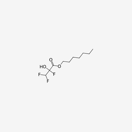 CCCCCCCOC(=O)C(O)(F)C(F)F